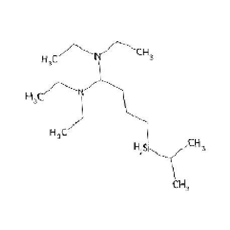 CCN(CC)C(CCC[SiH2]C(C)C)N(CC)CC